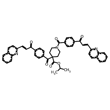 CC(C)OC(=O)C1(C(=O)c2ccc(C(=O)C=Cc3ccc4ccccc4n3)cc2)CCN(C(=O)c2ccc(C(=O)C=Cc3ccc4ccccc4n3)cc2)CC1